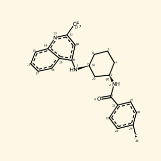 O=C(N[C@@H]1CCC[C@H](Nc2cc(C(F)(F)F)nc3ccccc23)C1)c1ccc(F)cc1